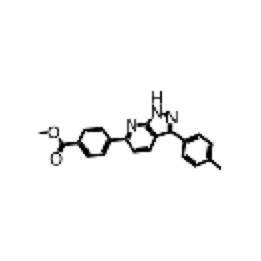 COC(=O)c1ccc(-c2ccc3c(-c4ccc(C)cc4)n[nH]c3n2)cc1